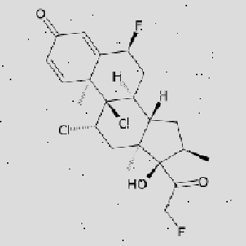 C[C@@H]1C[C@H]2[C@@H]3C[C@H](F)C4=CC(=O)C=C[C@]4(C)[C@@]3(Cl)[C@@H](Cl)C[C@]2(C)[C@@]1(O)C(=O)CF